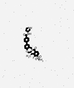 CCc1c(C(=O)N2CCOc3ccc(-c4ccc(C(=O)N[C@@H]5CCNC5)cc4)cc3C2)ccc(S(C)(=O)=O)c1F